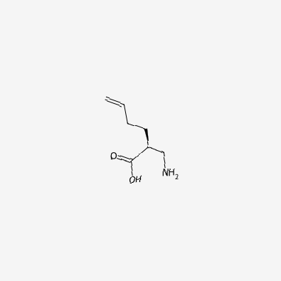 C=CCC[C@@H](CN)C(=O)O